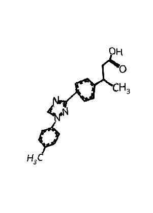 Cc1ccc(-n2cnc(-c3ccc(C(C)CC(=O)O)cc3)n2)cc1